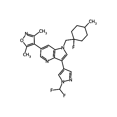 Cc1noc(C)c1-c1cnc2c(-c3cnn(C(F)F)c3)cn(CC3(F)CCC(C)CC3)c2c1